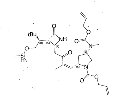 C=CCOC(=O)N(C)[C@H]1C[C@@H](C=C(C)C(=O)C[C@H]2NC(=O)[C@H]2[C@@H](CO[SiH](C)C)C(C)(C)C)N(C(=O)OCC=C)C1